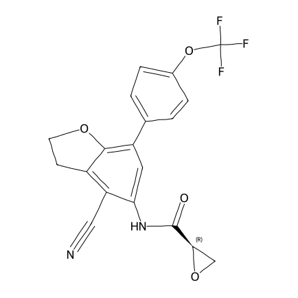 N#Cc1c(NC(=O)[C@H]2CO2)cc(-c2ccc(OC(F)(F)F)cc2)c2c1CCO2